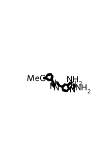 COc1cccc(-n2cc(-c3ccc4nc(N)nc(N)c4c3)nn2)c1